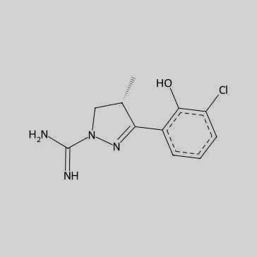 C[C@H]1CN(C(=N)N)N=C1c1cccc(Cl)c1O